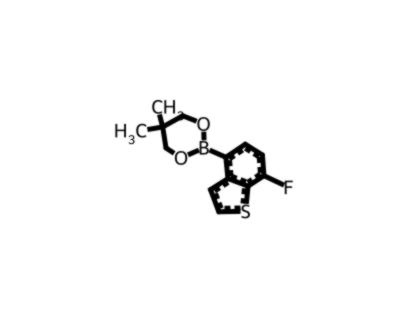 CC1(C)COB(c2ccc(F)c3sccc23)OC1